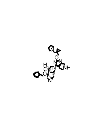 C[C@H]1CN(c2nc(OCC3(CN4CCCC4)CC3)nc3c2CCNC3)C[C@H](CC#N)N1C(=O)OCc1ccccc1